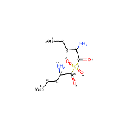 CSCC[C@@H](N)C(=O)S(=O)(=O)C(=O)[C@H](N)CCSC